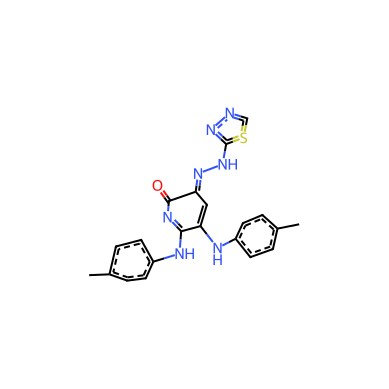 Cc1ccc(NC2=CC(=NNc3nncs3)C(=O)N=C2Nc2ccc(C)cc2)cc1